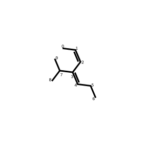 C/C=C\C(=C/CC)C(C)C